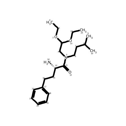 CCOC(CN(CCC(C)C)C(=O)[C@@H](N)CCc1ccccc1)OCC